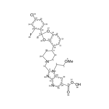 COCCn1c(CN2CCC(c3cccc4c3OC(C)(c3ccc(Cl)cc3F)O4)CC2)nc2ncc(C(=O)OO)cc21